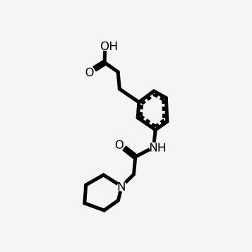 O=C(O)CCc1cccc(NC(=O)CN2CCCCC2)c1